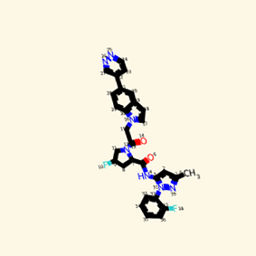 Cc1cc(NC(=O)C2CC(F)CN2C(=O)Cn2ccc3cc(-c4ccnnc4)ccc32)n(-c2ccccc2F)n1